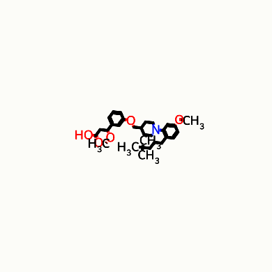 COc1ccc(CCCC(C)(C)C)c(N2CCC(COc3cccc(C(CC(=O)O)OC)c3)CC2)c1